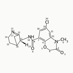 CN1C(=O)COc2c(C(=O)N[C@H]3C4=NCCC3C4)cc(Cl)cc21